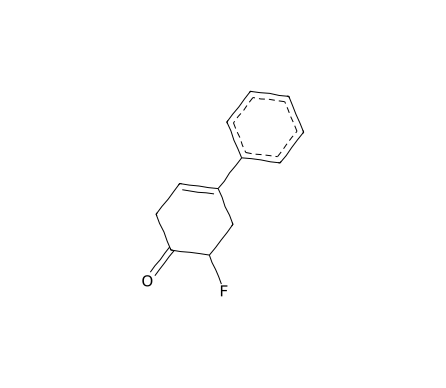 O=C1CC=C(c2ccccc2)CC1F